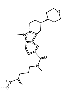 CONC(=O)CCCN(C)C(=O)c1ccc2c(c1)c1c(n2C)CC[C@@H](C2CCOCC2)C1